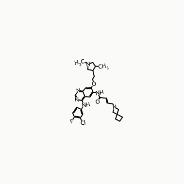 CC1CN(C)CC1CCOc1cc2ncnc(Nc3ccc(F)c(Cl)c3)c2cc1NC(=O)/C=C/CN1CC2(CCC2)C1